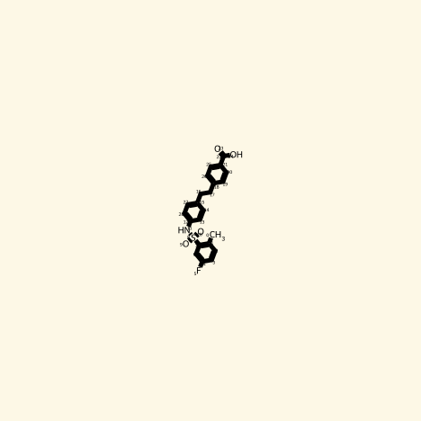 Cc1ccc(F)cc1S(=O)(=O)Nc1ccc(CCc2ccc(C(=O)O)cc2)cc1